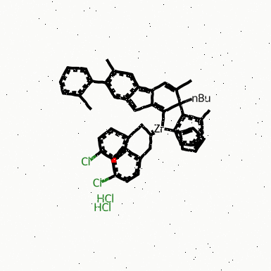 CCCCC1(c2ccccc2C)C(C)=CC2=c3cc(C)c(-c4ccccc4C)cc3=CC2=[C]1[Zr]([C]1=CC=CC1)=[C](Cc1ccc(Cl)cc1)Cc1ccc(Cl)cc1.Cl.Cl